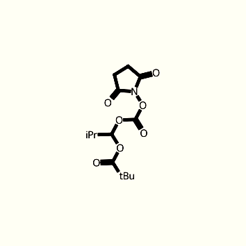 CC(C)C(OC(=O)ON1C(=O)CCC1=O)OC(=O)C(C)(C)C